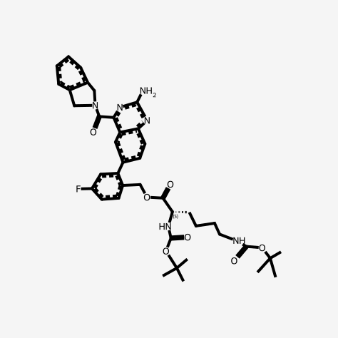 CC(C)(C)OC(=O)NCCCC[C@H](NC(=O)OC(C)(C)C)C(=O)OCc1ccc(F)cc1-c1ccc2nc(N)nc(C(=O)N3Cc4ccccc4C3)c2c1